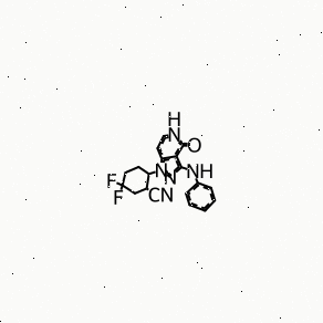 N#CC1CC(F)(F)CCC1n1nc(Nc2ccccc2)c2c(=O)[nH]ccc21